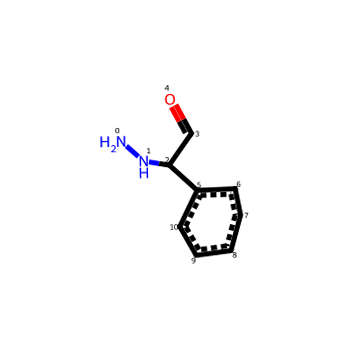 NNC([C]=O)c1ccccc1